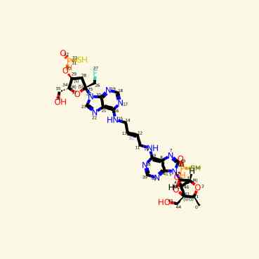 C[C@@H]1O[C@H]2[C@H](n3cnc4c(NC/C=C/CNc5ncnc6c5ncn6[C@@]5(CF)C[C@H](O[PH](=O)S)[C@@H](CO)O5)ncnc43)O[C@]1(CO)[C@H]2O[PH](=O)S